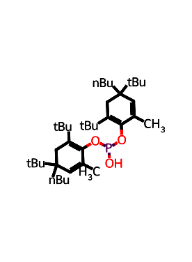 CCCCC1(C(C)(C)C)C=C(C)C(OP(O)OC2=C(C(C)(C)C)CC(CCCC)(C(C)(C)C)C=C2C)=C(C(C)(C)C)C1